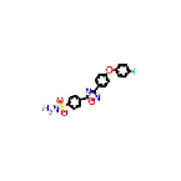 NS(=O)(=O)c1ccc(-c2nc(-c3ccc(Oc4ccc(F)cc4)cc3)no2)cc1